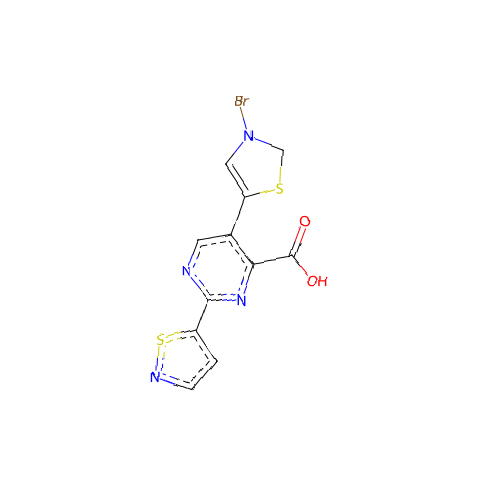 O=C(O)c1nc(-c2ccns2)ncc1C1=CN(Br)CS1